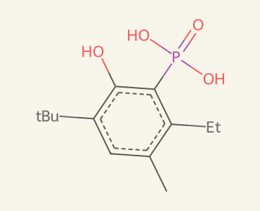 CCc1c(C)cc(C(C)(C)C)c(O)c1P(=O)(O)O